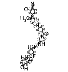 C[C@H]1CC2(CCN(c3ccc(C(=O)N4CCC(NCCNc5ccc(C(=O)N[C@@H]6CCC(=O)NC6=O)c(F)c5)CC4)cc3)CC2)CN1c1ccc(C#N)c(Cl)c1